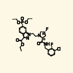 CCOC(=O)c1nn(CCN2C[C@H](F)C[C@H]2C(=O)NCc2cccc(Cl)c2F)c2cc(P(=O)(OCC)OCC)ccc12